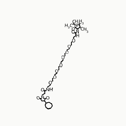 CC(C)NC(=O)[C@@H](NC(=O)CCOCCOCCOCCOCCOCCOCCOCCOCCNC(=O)CCN1C(=O)CC(C2CCCCCCC2)C1=O)C(C)C